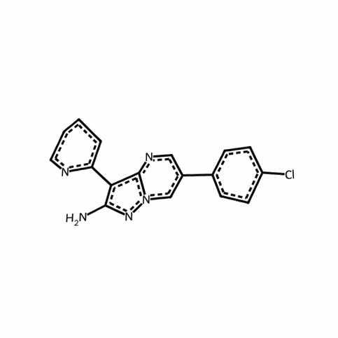 Nc1nn2cc(-c3ccc(Cl)cc3)cnc2c1-c1ccccn1